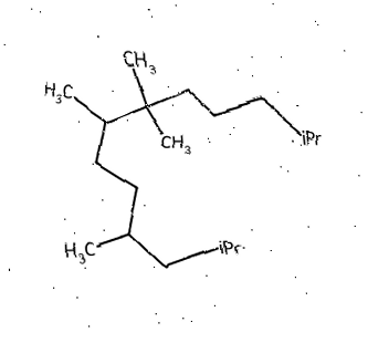 C[C](C)CC(C)CCC(C)C(C)(C)CCCC(C)C